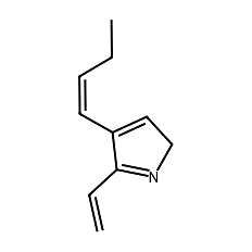 C=CC1=NCC=C1/C=C\CC